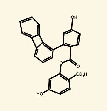 O=C(O)c1ccc(O)cc1OC(=O)c1ccc(O)cc1-c1cccc2c1-c1ccccc1-2